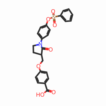 O=C(O)c1ccc(OCC2CCN(c3ccc(OS(=O)(=O)c4ccccc4)cc3)C2=O)cc1